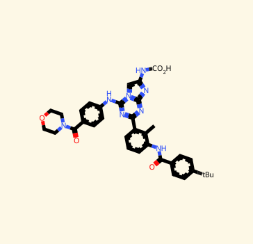 Cc1c(NC(=O)c2ccc(C(C)(C)C)cc2)cccc1-c1nc(Nc2ccc(C(=O)N3CCOCC3)cc2)n2cc(NC(=O)O)nc2n1